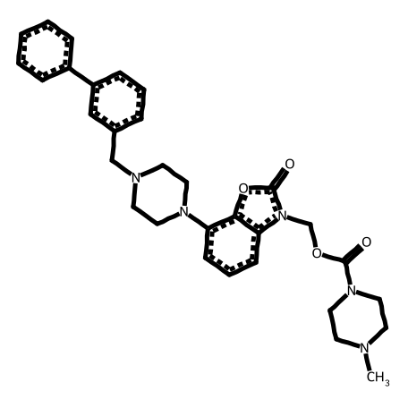 CN1CCN(C(=O)OCn2c(=O)oc3c(N4CCN(Cc5cccc(-c6ccccc6)c5)CC4)cccc32)CC1